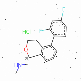 CNC[C@@H]1OCCc2c(-c3ccc(F)cc3F)cccc21.Cl